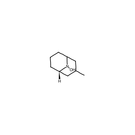 CC1CC2CCC[C@@H](C1)N2O